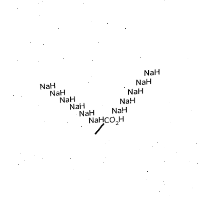 CC(=O)O.[NaH].[NaH].[NaH].[NaH].[NaH].[NaH].[NaH].[NaH].[NaH].[NaH].[NaH]